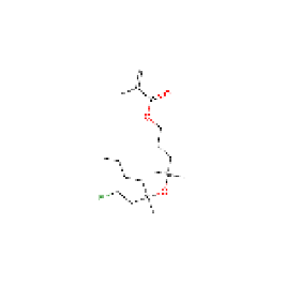 C=C(C)C(=O)OCCC[Si](C)(C)O[Si](C)(CCF)CCCC